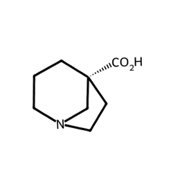 O=C(O)[C@]12CCCN(CC1)C2